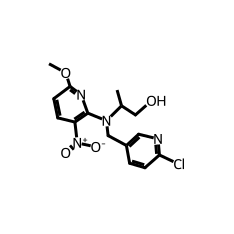 COc1ccc([N+](=O)[O-])c(N(Cc2ccc(Cl)nc2)C(C)CO)n1